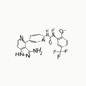 COc1ccc(C(F)(F)F)cc1NC(=O)Nc1ccc(-c2nccc3[nH]nc(N)c23)cn1